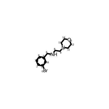 Brc1cccc(CNCCN2CCOCC2)c1